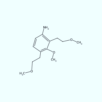 COCCc1ccc(N)c(CCOC)c1OC